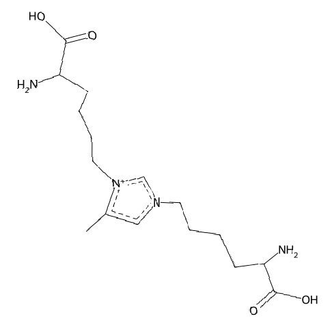 Cc1cn(CCCCC(N)C(=O)O)c[n+]1CCCCC(N)C(=O)O